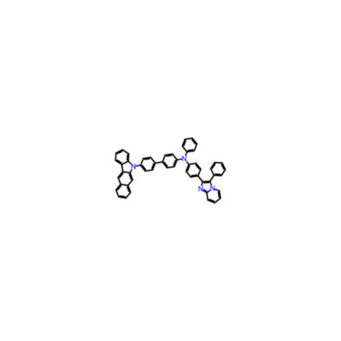 c1ccc(-c2c(-c3ccc(N(c4ccccc4)c4ccc(-c5ccc(-n6c7ccccc7c7cc8ccccc8cc76)cc5)cc4)cc3)nc3ccccn23)cc1